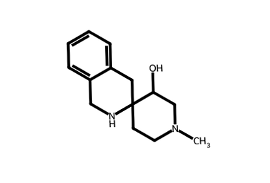 CN1CCC2(Cc3ccccc3CN2)C(O)C1